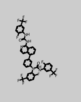 O=C(Nc1cc(C(F)(F)F)ccc1F)Nc1nccc2c(-c3cccc(N(C(=O)Nc4cc(C(F)(F)F)ccc4F)c4cc(C(F)(F)F)ccc4F)c3)cccc12